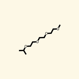 COCCOCCOCCOC(C)C